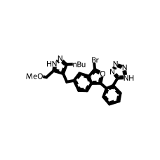 CCCCc1n[nH]c(COC)c1Cc1ccc2c(-c3ccccc3-c3nnn[nH]3)oc(Br)c2c1